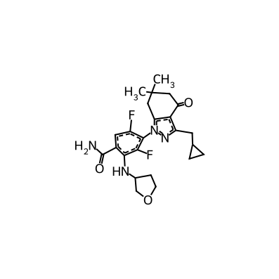 CC1(C)CC(=O)c2c(CC3CC3)nn(-c3c(F)cc(C(N)=O)c(NC4CCOC4)c3F)c2C1